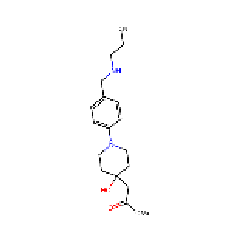 COC(=O)CC1(O)CCN(c2ccc(CNCCC#N)cc2)CC1